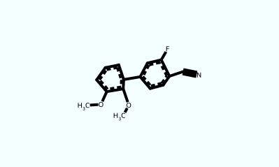 COc1cccc(-c2ccc(C#N)c(F)c2)c1OC